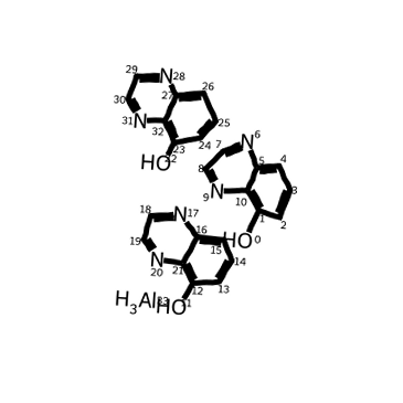 Oc1cccc2nccnc12.Oc1cccc2nccnc12.Oc1cccc2nccnc12.[AlH3]